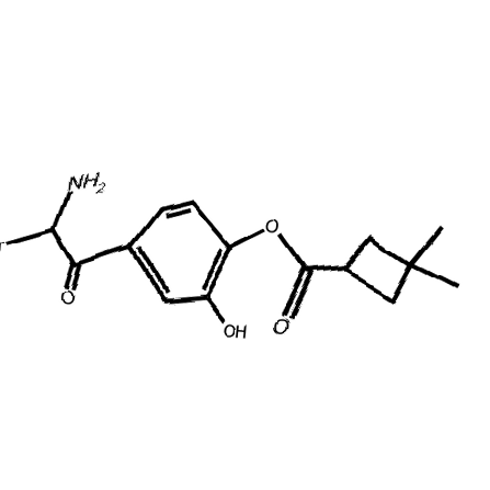 CC(C)C(N)C(=O)c1ccc(OC(=O)C2CC(C)(C)C2)c(O)c1